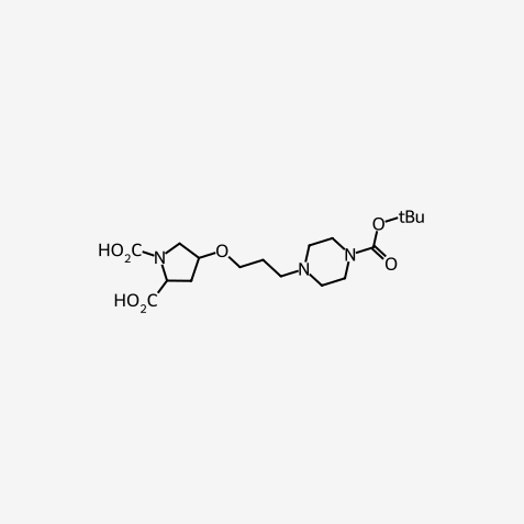 CC(C)(C)OC(=O)N1CCN(CCCOC2CC(C(=O)O)N(C(=O)O)C2)CC1